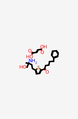 CC(N)(CO)CCc1ccc(C(=O)CCCCc2ccccc2)s1.O=C(O)C=CC(=O)O